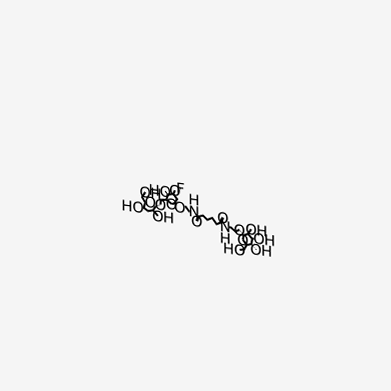 O=C(CCCCC(=O)NCCO[C@H]1OC(CO)[C@@H](O)C(O)C1O)NCCO[C@@H]1CC(OF)[C@H](O)C(CO[C@H]2OC(CO)[C@@H](O)CC2O)O1